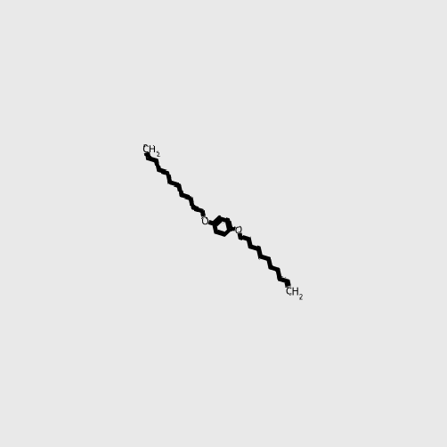 C=CCCCCCCCCCOc1ccc(OCCCCCCCCCC=C)cc1